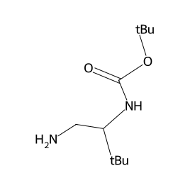 CC(C)(C)OC(=O)NC(CN)C(C)(C)C